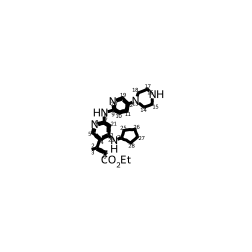 CCOC(=O)C=C(C)c1cnc(Nc2ccc(N3CCNCC3)cn2)cc1NC1CCCC1